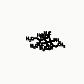 CCC(CC)C(P)(CC)C(C)(P)C(P)(CC)C(CC)CC